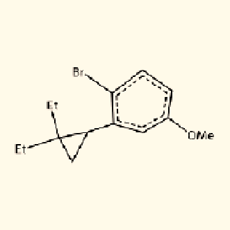 CCC1(CC)CC1c1cc(OC)ccc1Br